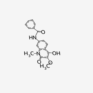 COc1c(O)c2ccc(NC(=O)c3ccccc3)cc2n(C)c1=O